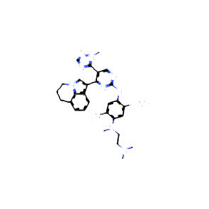 COc1cc(N(C)CCN(C)C)c([N+](=O)[O-])cc1Nc1ncc(-c2ncnn2C)c(-c2cn3c4c(cccc24)CCC3)n1